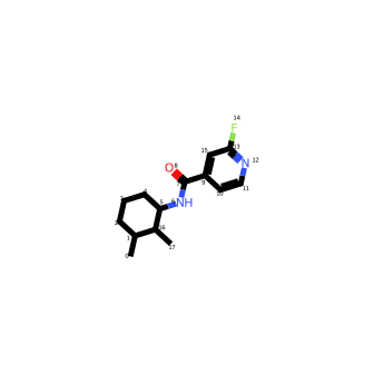 CC1CCCC(NC(=O)c2ccnc(F)c2)C1C